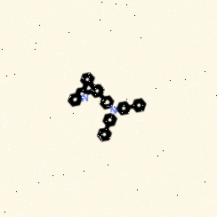 C1=C(c2ccc3c4ccccc4c4cc5ccccc5nc4c3c2)CCC(N(c2ccc(-c3ccccc3)cc2)c2ccc(-c3ccccc3)cc2)=C1